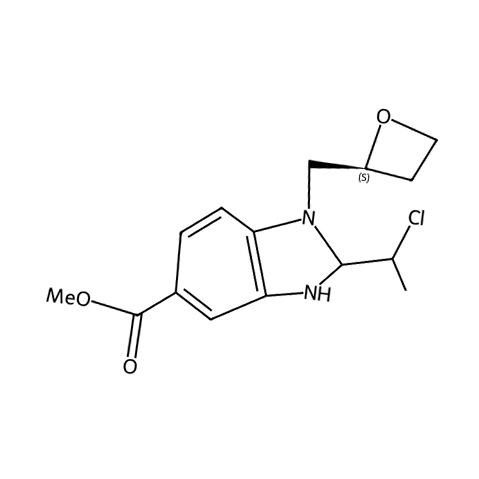 COC(=O)c1ccc2c(c1)NC(C(C)Cl)N2C[C@@H]1CCO1